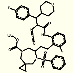 CC(C)(C)OC(=O)N1CC(CCc2c(F)cccc2NC(=O)C(N=[N+]=[N-])C(c2ccc(F)cc2)C2CCOCC2)N(S(=O)(=O)c2ccccc2)CC2(CC2)C1